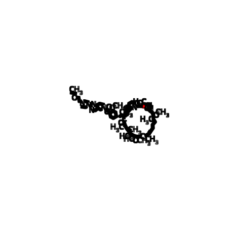 CCCOCCN1CCN(c2ncc3c(n2)CCN(C(=O)O[C@@H]2CC[C@@H](C[C@@H](C)[C@@H]4CC(=O)[C@H](C)/C=C(\C)[C@@H](O)[C@@H](O)C(=O)[C@H](C)C[C@H](C)/C=C/C=C/C=C(\C)[C@@H](OC)C[C@@H]5CC[C@@H](C)[C@@](O)(O5)C(=O)C(=O)N5CCCC[C@H]5C(=O)O4)C[C@H]2OC)C3)CC1